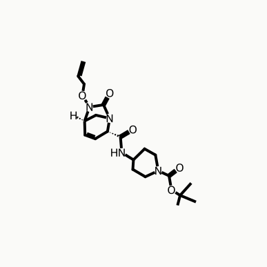 C=CCON1C(=O)N2C[C@H]1C=C[C@H]2C(=O)NC1CCN(C(=O)OC(C)(C)C)CC1